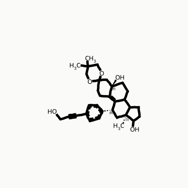 CC1(C)COC2(CCC3=C4C(CC[C@@]3(O)C2)C2CCC(O)[C@@]2(C)C[C@@H]4c2ccc(C#CCO)cc2)OC1